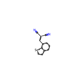 N#CC(C#N)=Cc1cccc2cc[se]c12